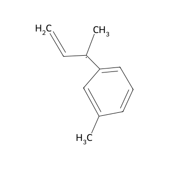 C=C[C](C)c1cccc(C)c1